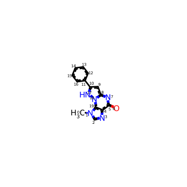 Cn1cnc2c(=O)nc3cc(-c4ccccc4)[nH]n3c21